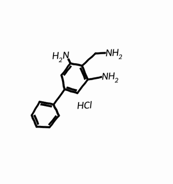 Cl.NCc1c(N)cc(-c2ccccc2)cc1N